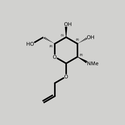 C=CCOC1O[C@H](CO)[C@@H](O)[C@H](O)[C@H]1NC